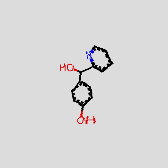 Oc1ccc(C(O)c2ccccn2)cc1